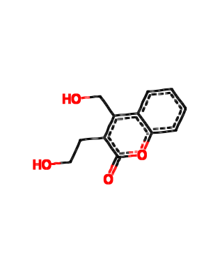 O=c1oc2ccccc2c(CO)c1CCO